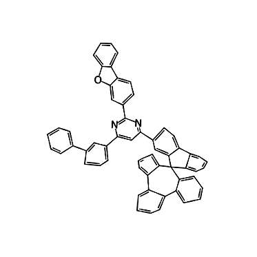 c1ccc(-c2cccc(-c3cc(-c4ccc5c(c4)C4(c6ccccc6-c6ccccc6-c6ccccc64)c4ccccc4-5)nc(-c4ccc5c(c4)oc4ccccc45)n3)c2)cc1